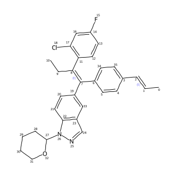 C/C=C/c1ccc(/C(=C(/CC)c2ccc(F)cc2Cl)c2ccc3c(cnn3C3CCCCO3)c2)cc1